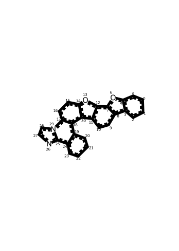 c1ccc2c(c1)oc1c2ccc2c1oc1ccc3c(c4ccccc4c4nccn34)c12